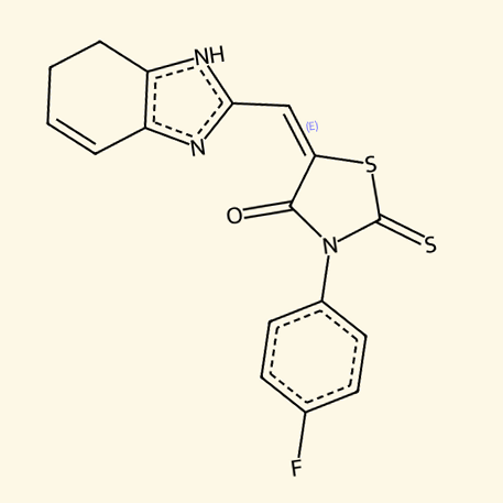 O=C1/C(=C\c2nc3c([nH]2)CCC=C3)SC(=S)N1c1ccc(F)cc1